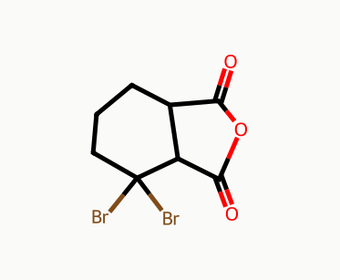 O=C1OC(=O)C2C1CCCC2(Br)Br